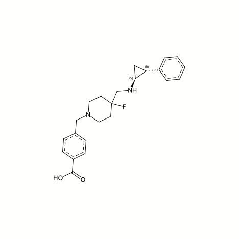 O=C(O)c1ccc(CN2CCC(F)(CN[C@H]3C[C@@H]3c3ccccc3)CC2)cc1